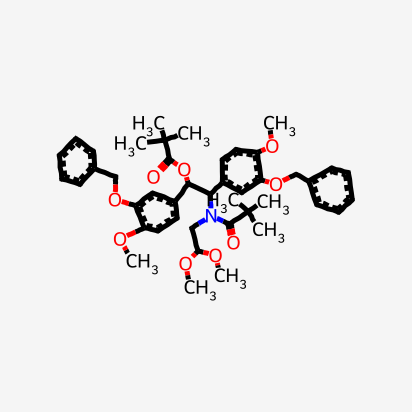 COc1ccc(C(OC(=O)C(C)(C)C)C(c2ccc(OC)c(OCc3ccccc3)c2)N(CC(OC)OC)C(=O)C(C)(C)C)cc1OCc1ccccc1